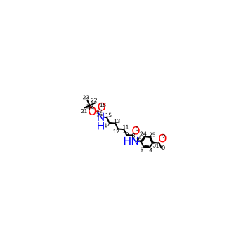 CC(=O)c1ccc(NC(=O)CCCCCCNC(=O)OC(C)(C)C)cc1